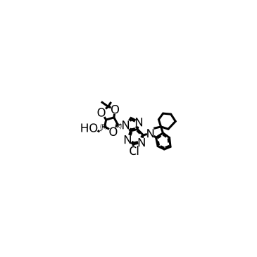 CC1(C)OC2C(O1)[C@@H](CO)O[C@H]2n1cnc2c(N3CC4(CCCCC4)c4ccccc43)nc(Cl)nc21